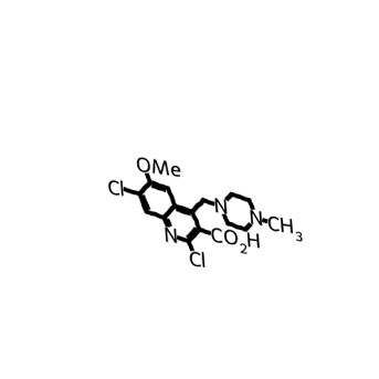 COc1cc2c(CN3CCN(C)CC3)c(C(=O)O)c(Cl)nc2cc1Cl